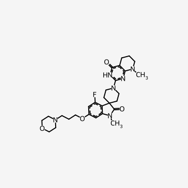 CN1CCCc2c1nc(N1CCC3(CC1)C(=O)N(C)c1cc(OCCCN4CCOCC4)cc(F)c13)[nH]c2=O